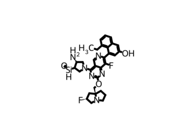 CCc1cccc2cc(O)cc(-c3ncc4c(N5CC([SiH]=O)[C@@H](N)C5)nc(OC[C@@]56CCCN5C[C@H](F)C6)nc4c3F)c12